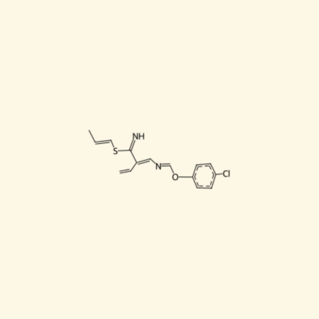 C=C/C(=C\N=C\Oc1ccc(Cl)cc1)C(=N)S/C=C/C